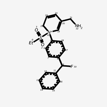 CCS(=O)(=O)[N+]1(c2ccc(C(F)c3ccccc3)cc2)C=C(CN)C=CC1